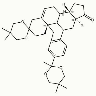 CC1(C)COC2(CC[C@@]34Cc5cc(C6(C)OCC(C)(C)CO6)ccc5C5C[C@]6(C)C(=O)CC[C@H]6[C@H](CC=C3C2)C54)OC1